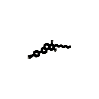 CCCCCCCc1c(F)cc2c(c1F)CCc1cc(-c3ccc(C#N)cc3)ccc1-2